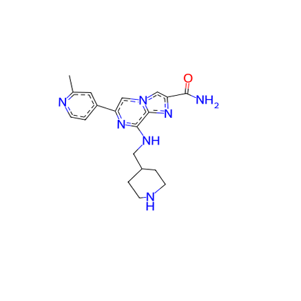 Cc1cc(-c2cn3cc(C(N)=O)nc3c(NCC3CCNCC3)n2)ccn1